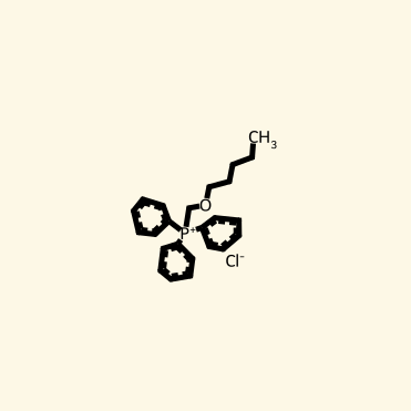 CCCCCOC[P+](c1ccccc1)(c1ccccc1)c1ccccc1.[Cl-]